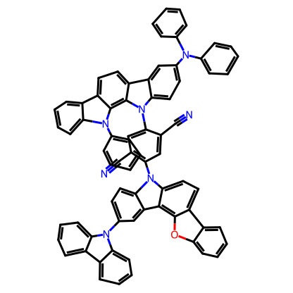 N#Cc1cc(-n2c3ccc(N(c4ccccc4)c4ccccc4)cc3c3ccc4c5ccccc5n(-c5ccccc5)c4c32)c(C#N)cc1-n1c2ccc(-n3c4ccccc4c4ccccc43)cc2c2c3oc4ccccc4c3ccc21